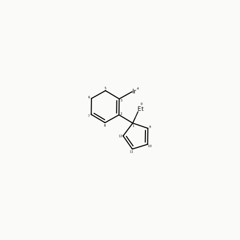 CCC1(C2=[C]([Ir])CCC=C2)C=CC=C1